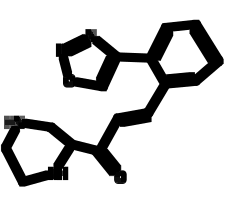 O=C(C=Cc1ccccc1-c1conn1)C1CNCCN1